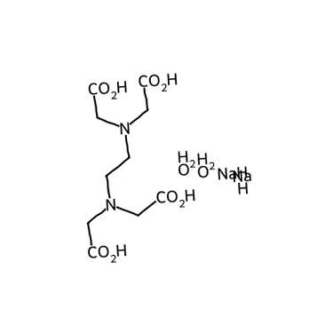 O.O.O=C(O)CN(CCN(CC(=O)O)CC(=O)O)CC(=O)O.[NaH].[NaH]